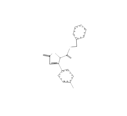 O=C1C=C(c2ccc(Cl)cc2)C(C(=O)NCc2ccccc2)O1